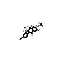 CC1(C)c2cc(OSC(F)(F)F)c(Cl)cc2C(=O)c2c1[nH]c1cc(C#N)ccc21